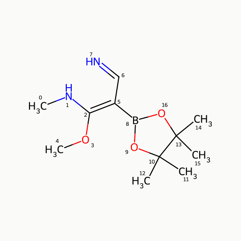 CN/C(OC)=C(\C=N)B1OC(C)(C)C(C)(C)O1